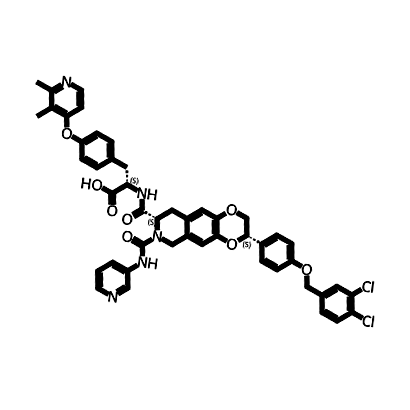 Cc1nccc(Oc2ccc(C[C@H](NC(=O)[C@@H]3Cc4cc5c(cc4CN3C(=O)Nc3cccnc3)O[C@@H](c3ccc(OCc4ccc(Cl)c(Cl)c4)cc3)CO5)C(=O)O)cc2)c1C